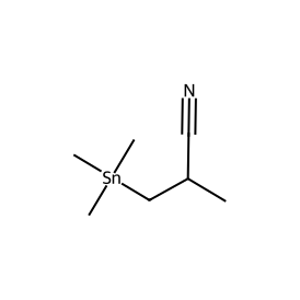 CC(C#N)[CH2][Sn]([CH3])([CH3])[CH3]